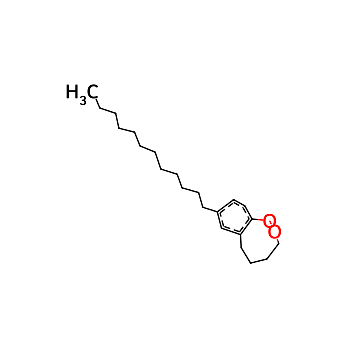 CCCCCCCCCCCCc1ccc2c(c1)CCCCOO2